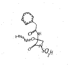 COC1(NC(=O)Cc2ccccc2)CN(S(=O)(=O)O)C1=O.[NaH]